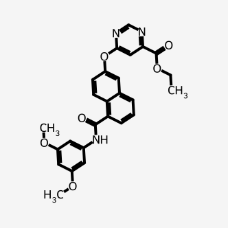 CCOC(=O)c1cc(Oc2ccc3c(C(=O)Nc4cc(OC)cc(OC)c4)cccc3c2)ncn1